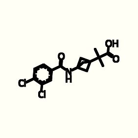 CC(C)(C(=O)O)C12CC(NC(=O)c3ccc(Cl)c(Cl)c3)(C1)C2